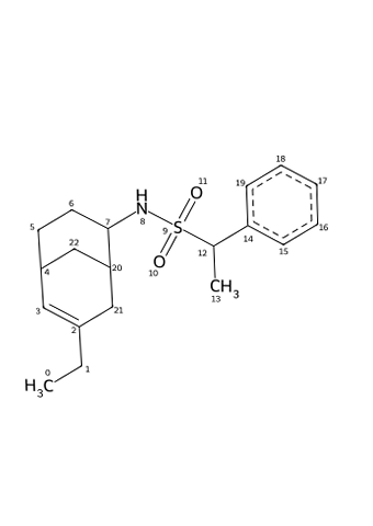 CCC1=CC2CCC(NS(=O)(=O)C(C)c3ccccc3)C(C1)C2